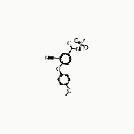 COc1ccc(Oc2ccc(C(=O)NS(C)(=O)=O)cc2C#N)cc1